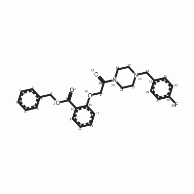 O=C(OCc1ccccc1)c1ccccc1OCC(=O)N1CCN(Cc2ccc(F)cc2)CC1